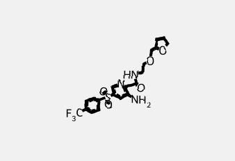 Nc1cc(S(=O)(=O)c2ccc(C(F)(F)F)cc2)cnc1C(=O)NCCOCC1CCCO1